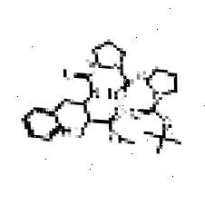 COC(=O)C(O)C(Cc1ccccc1)NC(=O)[C@@H]1CCCN1C(=O)[C@@H]1CCCN1C(=O)OC(C)(C)C